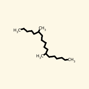 CCCCCCC(C)C[CH]CCCC(C)CCCCC